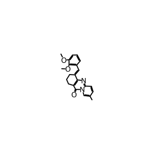 COc1cccc(C=C2CCCc3c2nc2ccc(C)cn2c3=O)c1OC